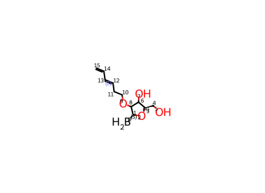 B[C@@H]1O[C@H](CO)C(O)C1OCC/C=C/C=C